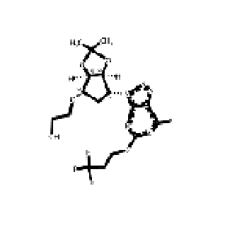 CC1(C)O[C@@H]2[C@H](O1)[C@@H](OCCO)C[C@H]2n1nnc2c(Br)nc(SCCC(F)(F)F)nc21